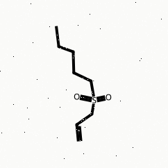 C=CCS(=O)(=O)[CH]CCCC